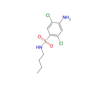 CCCCNS(=O)(=O)c1cc(Cl)c(N)cc1Cl